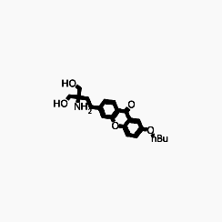 CCCCOc1ccc2oc3cc(CCC(N)(CO)CO)ccc3c(=O)c2c1